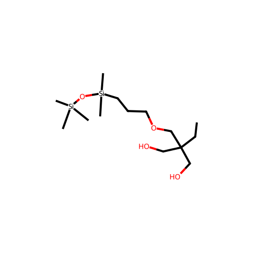 CCC(CO)(CO)COCCC[Si](C)(C)O[Si](C)(C)C